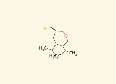 CC(C)C1COCC(=C(F)F)CC1C(C)C